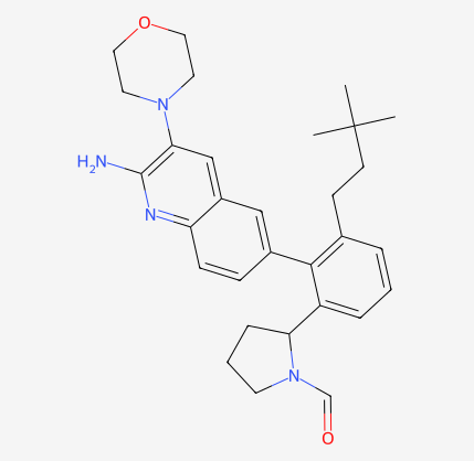 CC(C)(C)CCc1cccc(C2CCCN2C=O)c1-c1ccc2nc(N)c(N3CCOCC3)cc2c1